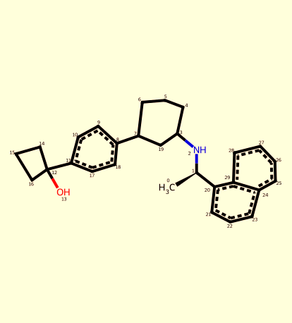 C[C@@H](NC1CCCC(c2ccc(C3(O)CCC3)cc2)C1)c1cccc2ccccc12